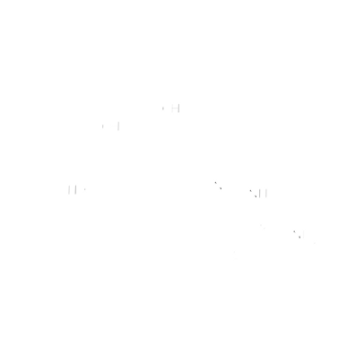 CC(C)CC(C)/C=N/NC(N)=S